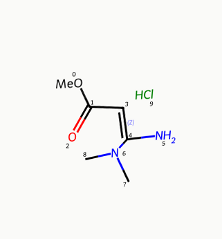 COC(=O)/C=C(/N)N(C)C.Cl